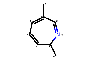 CC1=CC=CC(C)N=C1